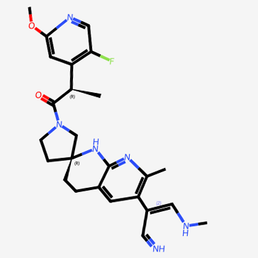 CN/C=C(\C=N)c1cc2c(nc1C)N[C@]1(CC2)CCN(C(=O)[C@H](C)c2cc(OC)ncc2F)C1